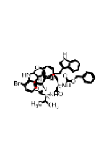 CC(C)[C@@H]1NC(=O)[C@@H](NC(=O)OCc2ccccc2)Cc2ccc3c(c2)[C@@]2(c4cccc(Br)c4NC2O3)c2oc1nc2C(=O)NCCc1c[nH]c2ccccc12